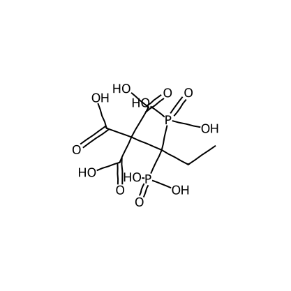 CCC(C(C(=O)O)(C(=O)O)C(=O)O)(P(=O)(O)O)P(=O)(O)O